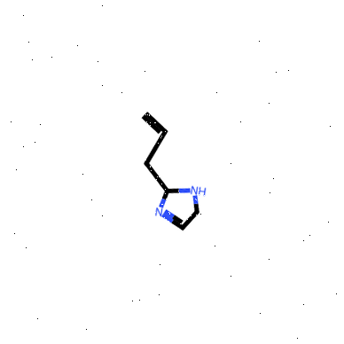 C=CCC1N=CCN1